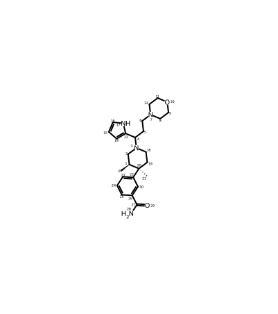 C[C@H]1CN(C(CCN2CCOCC2)c2ccc[nH]2)CC[C@@]1(C)c1cccc(C(N)=O)c1